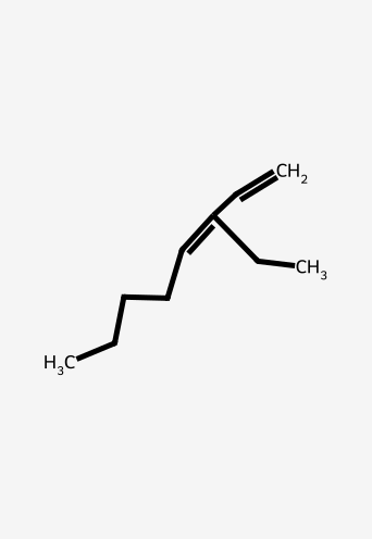 C=C/C(=C/CCCC)CC